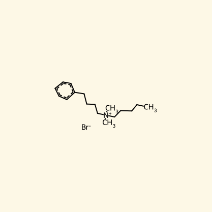 CCCCC[N+](C)(C)CCCCc1ccccc1.[Br-]